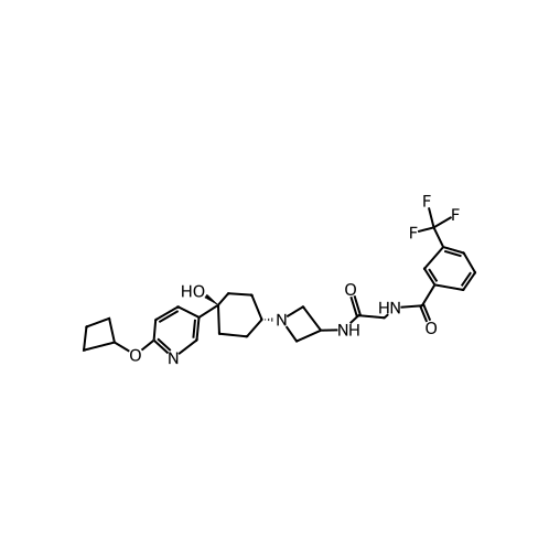 O=C(CNC(=O)c1cccc(C(F)(F)F)c1)NC1CN([C@H]2CC[C@@](O)(c3ccc(OC4CCC4)nc3)CC2)C1